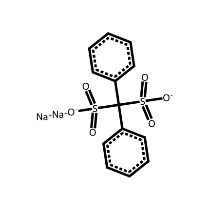 O=S(=O)([O-])C(c1ccccc1)(c1ccccc1)S(=O)(=O)[O-].[Na+].[Na+]